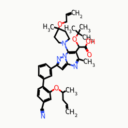 C=CCOC1(C)CCN(c2c(C(OC(C)(C)C)C(=O)O)c(C)nc3cc(-c4cccc(-c5ccc(C#N)cc5OC(C)CC=C)c4)nn23)CC1